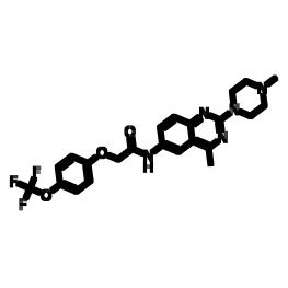 Cc1nc(N2CCN(C)CC2)nc2ccc(NC(=O)COc3ccc(OC(F)(F)F)cc3)cc12